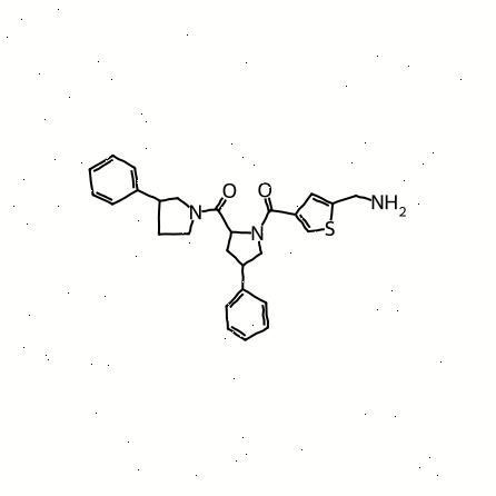 NCc1cc(C(=O)N2CC(c3ccccc3)CC2C(=O)N2CCC(c3ccccc3)C2)cs1